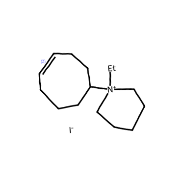 CC[N+]1(C2CC/C=C\CCC2)CCCCC1.[I-]